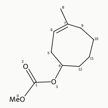 COC(=O)OC1CC=C(C)CCCC1